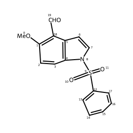 COc1ccc2c(ccn2S(=O)(=O)c2ccccc2)c1C=O